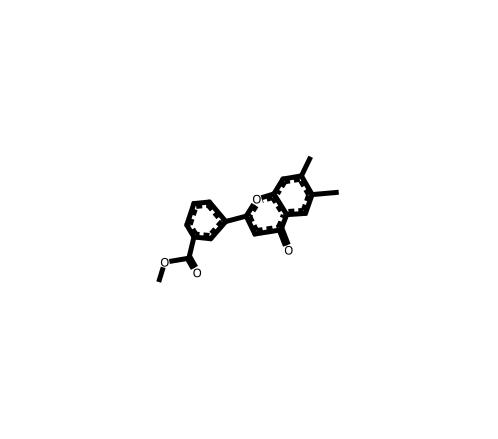 COC(=O)c1cccc(-c2cc(=O)c3cc(C)c(C)cc3o2)c1